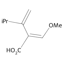 C=C(/C(=C\OC)C(=O)O)C(C)C